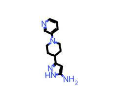 Nc1cc(C2CCN(c3cccnc3)CC2)n[nH]1